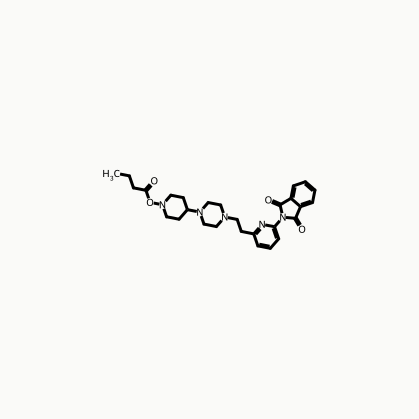 CCCC(=O)ON1CCC(N2CCN(CCc3cccc(N4C(=O)c5ccccc5C4=O)n3)CC2)CC1